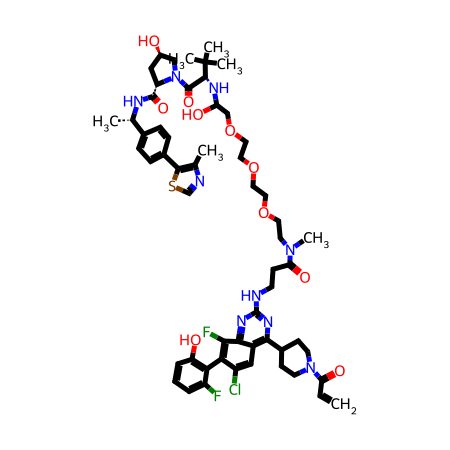 C=CC(=O)N1CCC(c2nc(NCCC(=O)N(C)CCOCCOCCOCC(O)N[C@H](C(=O)N3C[C@H](O)C[C@H]3C(=O)N[C@@H](C)c3ccc(-c4scnc4C)cc3)C(C)(C)C)nc3c(F)c(-c4c(O)cccc4F)c(Cl)cc23)CC1